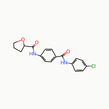 O=C(Nc1ccc(Cl)cc1)c1ccc(NC(=O)C2CCCO2)cc1